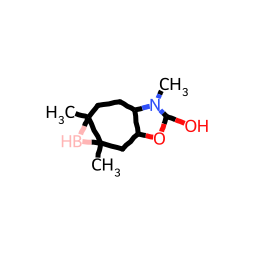 CN1C(O)OC2CC3(C)BC3(C)CCC21